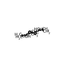 C=CC(=C)OCC(O)CCc1cccc(C(C)(C)c2cccc(OCC(O)COC(=C)C=C)c2)c1